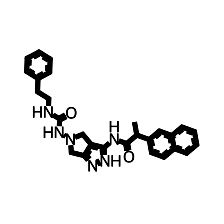 CC(C(=O)Nc1[nH]nc2c1CN(NC(=O)NCCc1ccccc1)C2)c1ccc2ccccc2c1